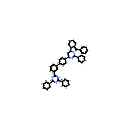 C1=CC2=C(c3ccccc3)N3C(c4ccccc4)=NC(c4ccc(-c5cccc(-c6nc(-c7ccccc7)nc(-c7ccccc7)n6)c5)cc4)=CC3C2C=C1